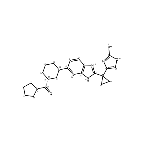 CC(C)c1nc(C2(c3nc4ccc(N5CCC[C@@H](C(=O)N6CCCC6)C5)nc4[nH]3)CC2)co1